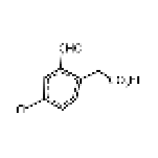 CCOC(=O)Cc1ccc(Cl)cc1C=O